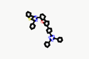 c1ccc(-c2nc(-c3ccccc3)nc(-c3ccc(-c4ccc5c(c4)oc4c(-c6nc(-c7ccccc7)c7sc8ccccc8c7n6)cccc45)cc3)n2)cc1